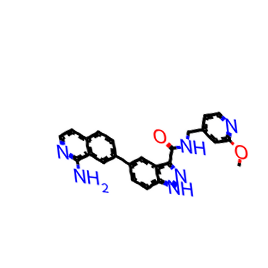 COc1cc(CNC(=O)c2n[nH]c3ccc(-c4ccc5ccnc(N)c5c4)cc23)ccn1